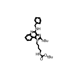 CCCCc1nc2c(NCc3ccccc3)nc3ccccc3c2n1CCCCNC(=O)OC(C)(C)C